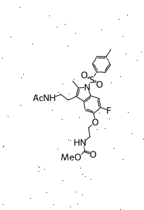 COC(=O)NCCOc1cc2c(CCNC(C)=O)c(C)n(S(=O)(=O)c3ccc(C)cc3)c2cc1F